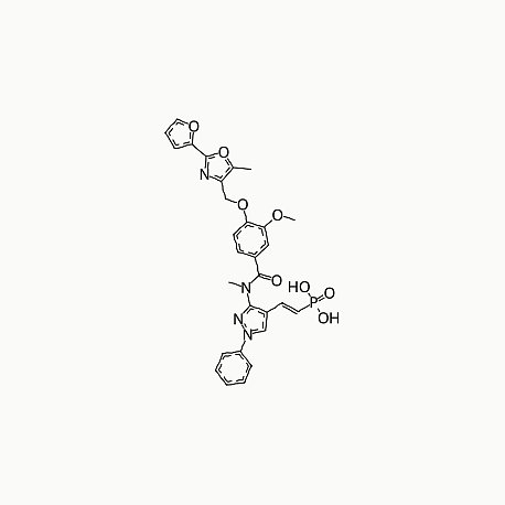 COc1cc(C(=O)N(C)c2nn(-c3ccccc3)cc2C=CP(=O)(O)O)ccc1OCc1nc(-c2ccco2)oc1C